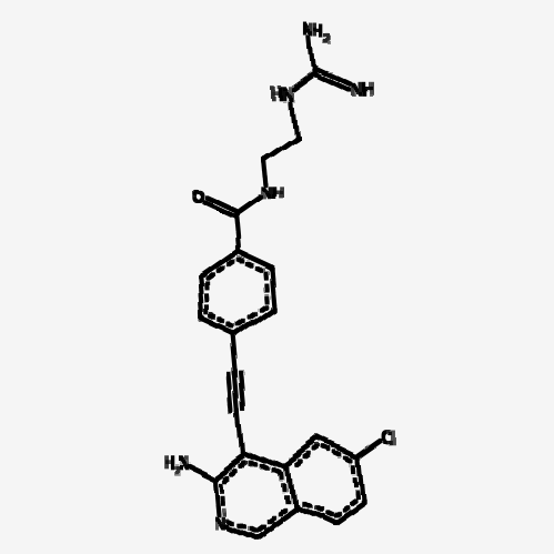 N=C(N)NCCNC(=O)c1ccc(C#Cc2c(N)ncc3ccc(Cl)cc23)cc1